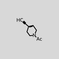 C#CC1=CCN(C(C)=O)CC1